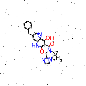 Cn1ccnc1CN(C(=O)c1c(O)c2ncc(Cc3ccccc3)cc2[nH]c1=O)C1CC1